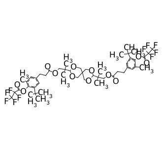 Cc1cc(CCC(=O)OCC(C)(C)C2OCC3(CO2)COC(C(C)(C)COC(=O)CCc2cc(C)c(OC(=O)C(F)(F)C(F)(F)F)c(C(C)(C)C)c2)OC3)cc(C(C)(C)C)c1OC(=O)C(F)(F)C(F)(F)F